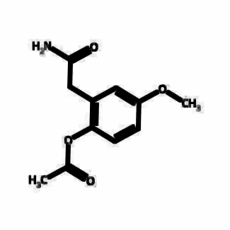 COc1ccc(OC(C)=O)c(CC(N)=O)c1